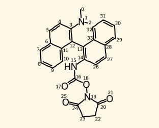 CN(C)c1ccc2ccccc2c1-c1c(NC(=O)ON2C(=O)CCC2=O)ccc2ccccc12